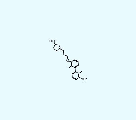 Cc1c(OCCCN2CC[C@@H](O)C2)cccc1-c1cccc(C(C)C)c1C